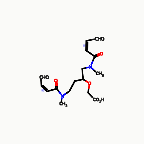 CN(CCC(CN(C)C(=O)/C=C\C=O)OCC(=O)O)C(=O)/C=C\C=O